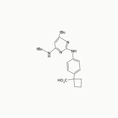 CC(C)(C)Nc1cc(C(C)(C)C)nc(Nc2ccc(C3(C(=O)O)CCC3)cc2)n1